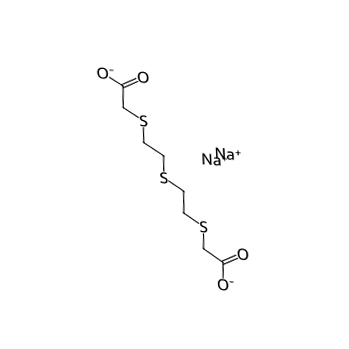 O=C([O-])CSCCSCCSCC(=O)[O-].[Na+].[Na+]